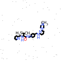 CC([SiH3])[C@H](NCc1ccccn1)C(=O)NCc1ccc(CNc2cccc(N3CCN(C)CC3)n2)cc1